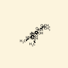 CCCCNc1nc(SCCC)nc2c1nnn2[C@@H]1C[C@H](C(=O)NCCC(=O)N(C)C)[C@@H](O)[C@H]1O